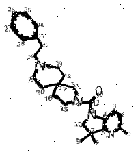 Cc1ccc2c(n1)C(C)(C)CN2C(=O)N1CCC2(CCN(CCc3ccccc3)CC2)C1